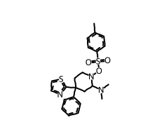 Cc1ccc(S(=O)(=O)ON2CCC(c3ccccc3)(c3nccs3)CC2N(C)C)cc1